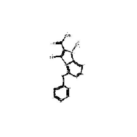 COC(=O)c1c(C#N)c2c(Cc3ccccc3)cccc2n1C(F)(F)F